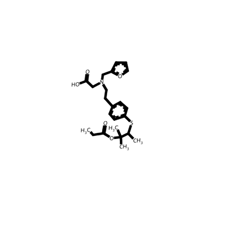 CCC(=O)OC(C)(C)C(C)Sc1ccc(CCN(CC(=O)O)Cc2ccco2)cc1